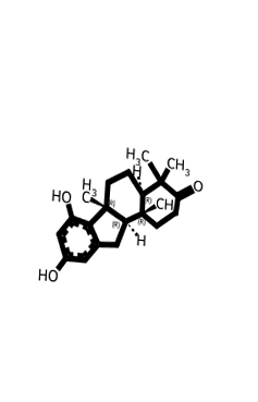 CC1(C)C(=O)CC[C@]2(C)[C@H]3Cc4cc(O)cc(O)c4[C@]3(C)CC[C@@H]12